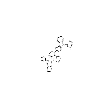 O=S1(c2ccccc2)=Nc2ccccc2C=C1n1c2ccccc2c2c(-c3ccc4c(c3)c3ccccc3n4-c3ccccc3)cccc21